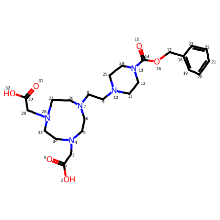 O=C(O)CN1CCN(CCN2CCN(C(=O)OCc3ccccc3)CC2)CCN(CC(=O)O)CC1